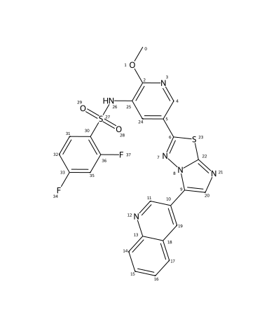 COc1ncc(-c2nn3c(-c4cnc5ccccc5c4)cnc3s2)cc1NS(=O)(=O)c1ccc(F)cc1F